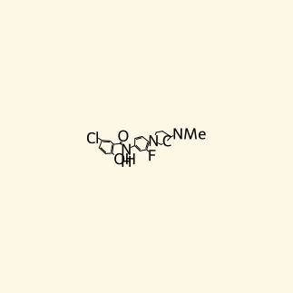 CNC1CCN(c2ccc(NC(=O)c3cc(Cl)ccc3O)cc2F)CC1